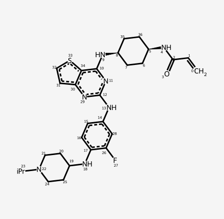 C=CC(=O)N[C@H]1CC[C@@H](Nc2nc(Nc3ccc(NC4CCN(C(C)C)CC4)c(F)c3)nc3ccsc23)CC1